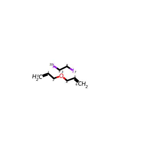 C=CCOCC=C.ICCI